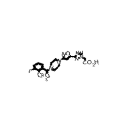 O=C(O)Cn1nnc(-c2cc(N3CCN(C(=O)c4cccc(F)c4C(F)(F)F)CC3)no2)n1